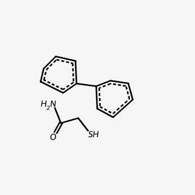 NC(=O)CS.c1ccc(-c2ccccc2)cc1